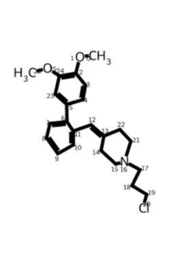 COc1ccc(-c2ccccc2C=C2CCN(CCCCl)CC2)cc1OC